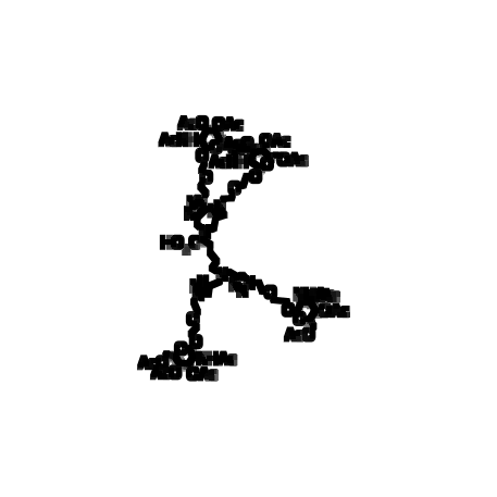 CC(=O)N[C@H]1[C@H](OCCOCCn2cc(CN(CCCC[C@@H](C(=O)O)N3Cc4nnn(CCOCCO[C@@H]5O[C@H](COC(C)=O)[C@H](OC(C)=O)[C@H](OC(C)=O)[C@H]5NC(C)=O)c4-n4c(cn4CCOCCO[C@@H]4O[C@H](COC(C)=O)[C@H](OC(C)=O)[C@H](OC(C)=O)[C@H]4NC(C)=O)C3)Cc3cn(CCOCCO[C@@H]4O[C@H](COC(C)=O)[C@H](OC(C)=O)[C@H](OC(C)=O)[C@H]4NC(C)=O)nn3)nn2)O[C@H](COC(C)=O)[C@H](OC(C)=O)[C@@H]1OC(C)=O